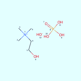 C[N+](C)(C)CCO.O=P(O)(O)O.[OH-]